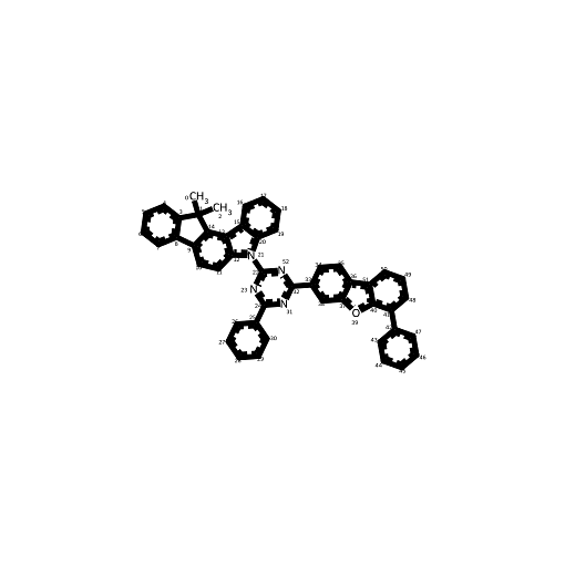 CC1(C)c2ccccc2-c2ccc3c(c21)c1ccccc1n3-c1nc(-c2ccccc2)nc(-c2ccc3c(c2)oc2c(-c4ccccc4)cccc23)n1